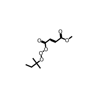 CCC(C)(C)OOOC(=O)/C=C/C(=O)OC